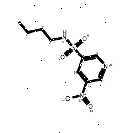 CCCCNS(=O)(=O)c1cncc([N+](=O)[O-])c1